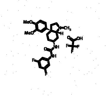 COc1ccc([C@@]23CC[C@@H](NC(=O)Nc4cc(F)cc(F)c4)C[C@H]2N(C)CC3)cc1OC.O=C(O)C(F)(F)F